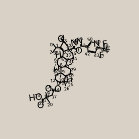 CC(C)C1=C2[C@H]3CC[C@@H]4[C@@]5(C)CC[C@H](OC(=O)CC(C)(C)C(=O)O)C(C)(C)[C@@H]5CC[C@@]4(C)[C@]3(C)CC[C@@]2(c2nnc(-c3ccc(C(F)(F)F)nc3)o2)CC1=O